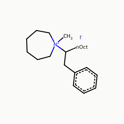 CCCCCCCCC(Cc1ccccc1)[N+]1(C)CCCCCC1.[I-]